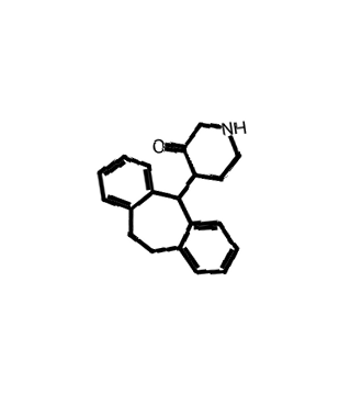 O=C1CNCCC1C1c2ccccc2CCc2ccccc21